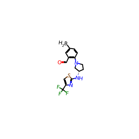 Bc1ccc(N2CC[C@H](Nc3nc(C(F)(F)F)cs3)C2)c(C=O)c1